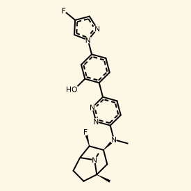 CN(c1ccc(-c2ccc(-n3cc(F)cn3)cc2O)nn1)[C@H]1C[C@]2(C)CCC([C@H]1F)N2C